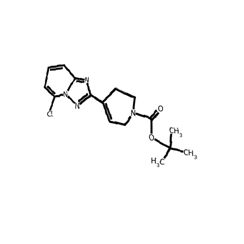 CC(C)(C)OC(=O)N1CC=C(c2nc3cccc(Cl)n3n2)CC1